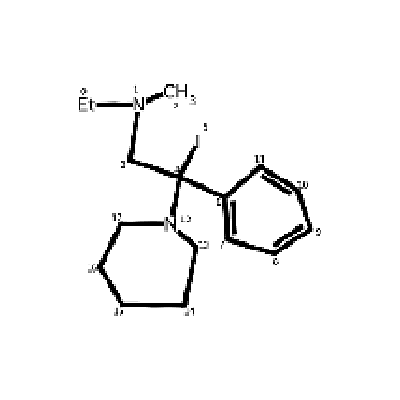 CCN(C)CC(I)(c1ccccc1)N1CCCCC1